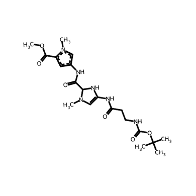 COC(=O)c1cc(NC(=O)C2NC(NC(=O)CCNC(=O)OC(C)(C)C)=CN2C)cn1C